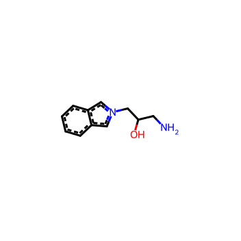 NCC(O)Cn1cc2ccccc2c1